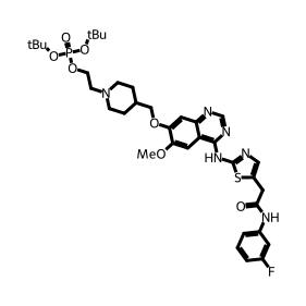 COc1cc2c(Nc3ncc(CC(=O)Nc4cccc(F)c4)s3)ncnc2cc1OCC1CCN(CCOP(=O)(OC(C)(C)C)OC(C)(C)C)CC1